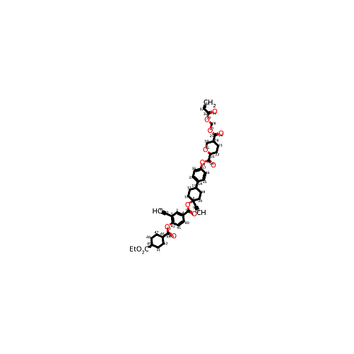 C#Cc1cc(C(=O)OC2(C#C)CCC(c3ccc(OC(=O)C4CCC(C(=O)OCOC(=O)C=C)CO4)cc3)CC2)ccc1OC(=O)C1CCC(C(=O)OCC)CC1